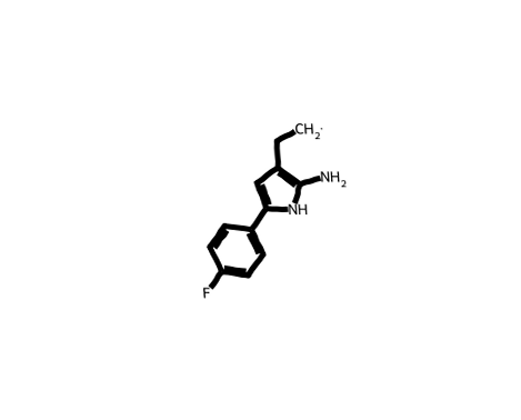 [CH2]Cc1cc(-c2ccc(F)cc2)[nH]c1N